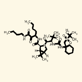 CCCCNC(=O)C(=O)C(CCCC)NC(=O)[C@@H]1[C@@H]2[C@H](CN1C(=O)[C@@H](NC(=O)NC1(CS(=O)(=O)C(C)(C)C)CCCCC1)C(C)(C)C)C2(C)C